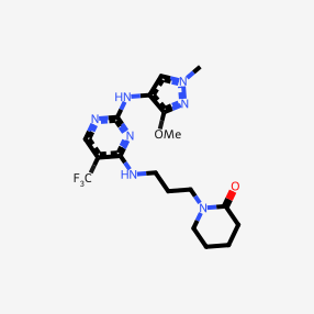 COc1nn(C)cc1Nc1ncc(C(F)(F)F)c(NCCCN2CCCCC2=O)n1